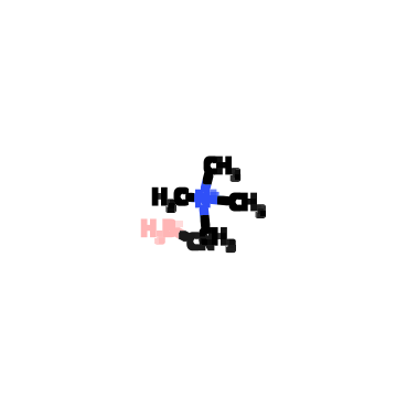 C[N+](C)(C)C.[BH3-]C#N